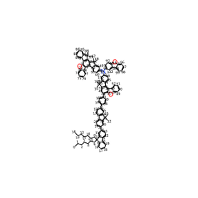 CCCCCCCC1(CCCCCCC)c2ccccc2-c2ccc(-c3ccc4c(c3)C(C)(C)c3cc(-c5ccc(-c6cc7c(c8c6oc6ccccc68)-c6ccc(N(c8ccc9c(c8)C(C)(C)c8c%10c(c%11oc%12ccccc%12c%11c8-9)-c8ccccc8C%10(C)C)c8ccc9oc%10ccccc%10c9c8)cc6C7(C)C)cc5)ccc3-4)cc21